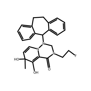 CC1(O)C=CN2C(=C1O)C(=O)N(CCF)CN2C1c2ccccc2CCc2ccccc21